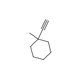 C#CC1([CH2])CCCCC1